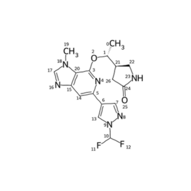 C[C@@H](Oc1nc(-c2cnn(C(F)F)c2)cc2ncn(C)c12)[C@H]1CNC(=O)C1